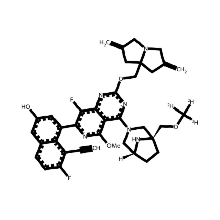 [2H]C([2H])([2H])OC[C@]12CC[C@H](CN(c3nc(OCC45CC(=C)CN4CC(=C)C5)nc4c(F)c(-c5cc(O)cc6ccc(F)c(C#C)c56)nc(OC)c34)C1)N2